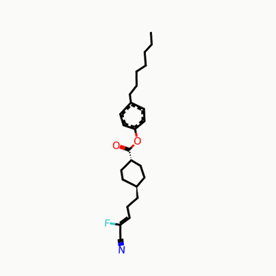 CCCCCCCc1ccc(OC(=O)[C@H]2CC[C@H](CCC=C(F)C#N)CC2)cc1